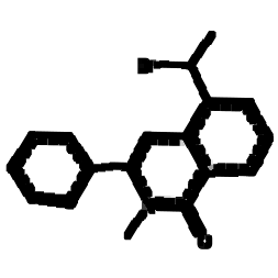 CC(Br)c1cccc2c(=O)n(C)c(-c3ccccc3)cc12